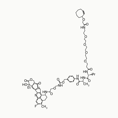 CC[C@@]1(O)C(=O)OCc2c1cc1n(c2=O)Cc2c-1nc1cc(F)c(C)c3c1c2C(NC(=O)COCNC(=O)OCc1ccc(NC(=O)[C@H](C)NC(=O)[C@@H](NC(=O)CCOCCOCCOCCOCCNC(=O)COC2C#CCCCCC2)C(C)C)cc1)CC3